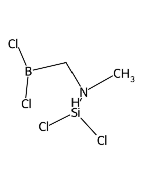 CN(CB(Cl)Cl)[SiH](Cl)Cl